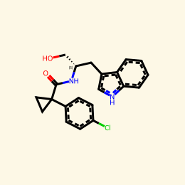 O=C(N[C@H](CO)Cc1c[nH]c2ccccc12)C1(c2ccc(Cl)cc2)CC1